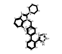 O=C(O)c1cccc2nc(N3CCCCC3)n(Cc3ccc(-c4ccccc4-c4nnn[nH]4)cc3)c12